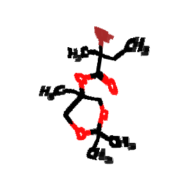 CCC(C)(Br)C(=O)OC1(C)COC(C)(C)OC1